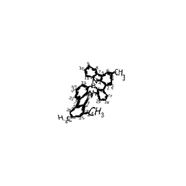 Cc1cc2c3c(c1)c1ccccc1n3B1c3c-2cccc3-n2c3c(C)cc(C)cc3c3cccc1c32